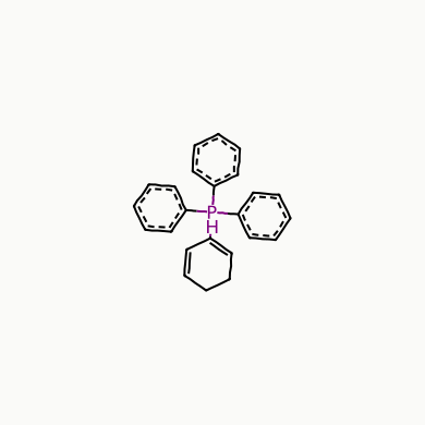 C1=CC([PH](c2ccccc2)(c2ccccc2)c2ccccc2)=CCC1